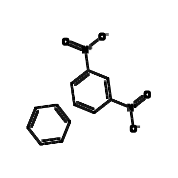 O=[N+]([O-])c1cccc([N+](=O)[O-])c1.c1ccccc1